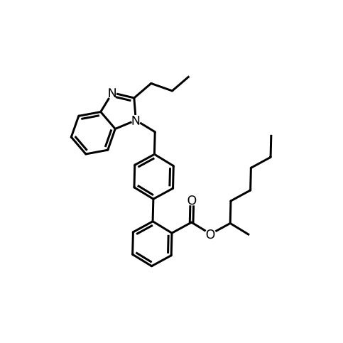 CCCCCC(C)OC(=O)c1ccccc1-c1ccc(Cn2c(CCC)nc3ccccc32)cc1